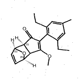 CCc1cc(C)cc(CC)c1C1=C(OC)C2[C@H]3C=C[C@H](O3)[C@H]2C1=O